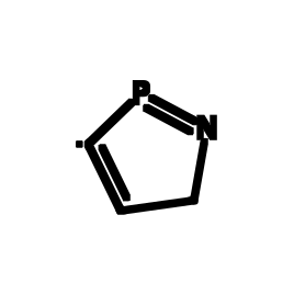 [C]1=CCN=P1